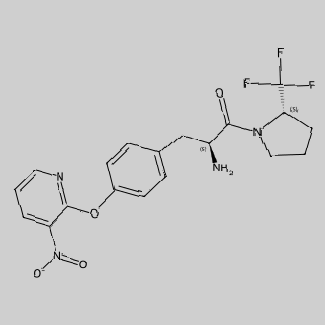 N[C@@H](Cc1ccc(Oc2ncccc2[N+](=O)[O-])cc1)C(=O)N1CCC[C@H]1C(F)(F)F